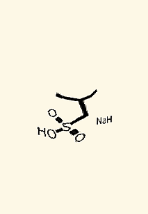 CC(C)CS(=O)(=O)O.[NaH]